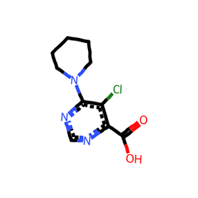 O=C(O)c1ncnc(N2CCCCC2)c1Cl